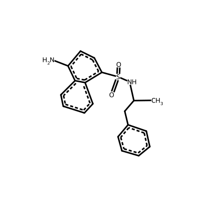 CC(Cc1ccccc1)NS(=O)(=O)c1ccc(N)c2ccccc12